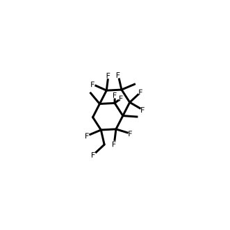 CC1(F)C(F)(F)C2(C)CC(F)(CF)C(F)(F)C(C)(C1(F)F)C2(F)F